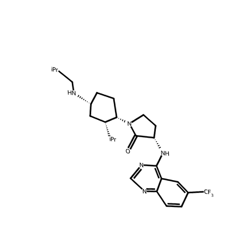 CC(C)CN[C@@H]1CC[C@H](N2CC[C@H](Nc3ncnc4ccc(C(F)(F)F)cc34)C2=O)[C@H](C(C)C)C1